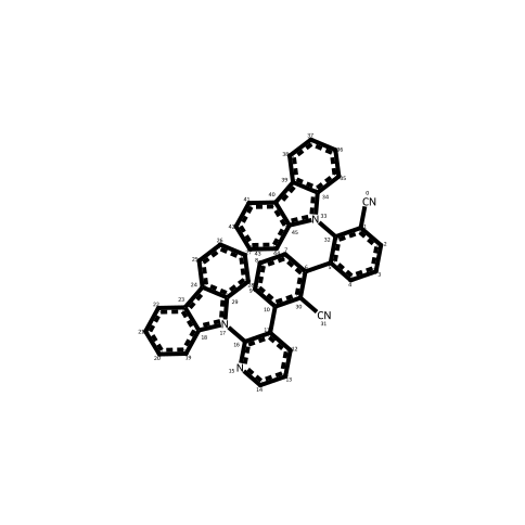 N#Cc1cccc(-c2cccc(-c3cccnc3-n3c4ccccc4c4ccccc43)c2C#N)c1-n1c2ccccc2c2ccccc21